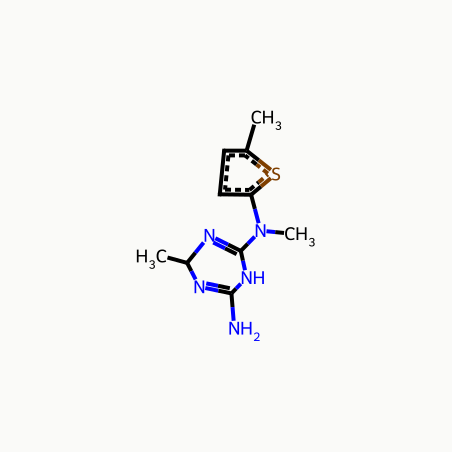 Cc1ccc(N(C)C2=NC(C)N=C(N)N2)s1